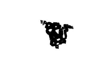 CC(C)(C)[Si](C)(C)OCCn1nnc(-c2ccccc2Cl)c1C(=O)c1nnn(Cc2cc(C(F)(F)F)cc(C(F)(F)F)c2)c1-c1ccccc1